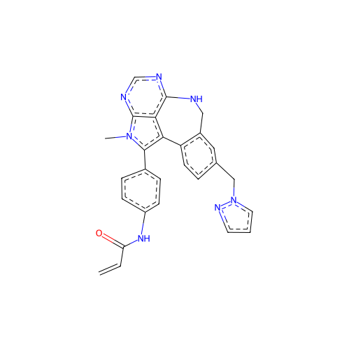 C=CC(=O)Nc1ccc(-c2c3c4c(ncnc4n2C)NCc2cc(Cn4cccn4)ccc2-3)cc1